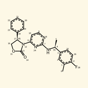 Cc1cc([C@H](C)Nc2nccc(N3C(=O)OC[C@H]3c3ccccc3)n2)ccc1F